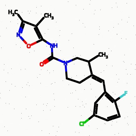 Cc1noc(NC(=O)N2CCC(=Cc3cc(Cl)ccc3F)C(C)C2)c1C